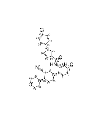 N#CC1CN(c2ccccc2NC(=O)c2ccn(-c3ccc(Cl)cc3)c2)CCC1N1CCOCC1.O